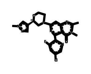 Cc1nc2cc(N3CCO[C@H](c4cnn(C)c4)C3)nc(-c3ncc(Cl)cc3F)c2c(=O)n1C